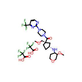 COC[C@]1(C(=O)N2CCN(c3nccc(C(F)(F)F)n3)CC2)CC[C@@H](N[C@@H]2CCOCC2OC)C1.O=C(O)C(F)(F)F.O=C(O)C(F)(F)F